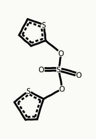 O=S(=O)(Oc1cccs1)Oc1cccs1